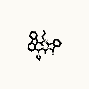 CCCNC(=O)C1c2ccccc2-c2cccc(C(CC(C)N3C(=O)c4ccccc4C3=O)N3CCC3)c21